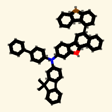 CC1(C)c2ccccc2-c2ccc(N(c3ccc(-c4ccccc4)cc3)c3ccc4c(c3)oc3c5ccccc5c(-c5cccc6sc7ccccc7c56)cc43)cc21